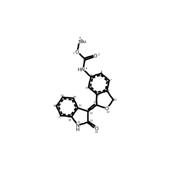 CC(C)(C)OC(=O)Nc1ccc2c(c1)/C(=C1/C(=O)Nc3ccccc31)OC2